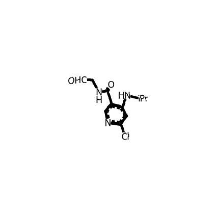 CC(C)Nc1cc(Cl)ncc1C(=O)NCC=O